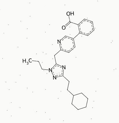 CCCn1nc(CCC2CCCCC2)nc1Cc1ccc(-c2ccccc2C(=O)O)cn1